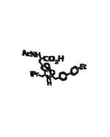 CCc1ccc(-c2ccc(CC(=O)NC(CC(C)C)c3cc(CC(NC(C)=O)C(=O)O)on3)cc2)cc1